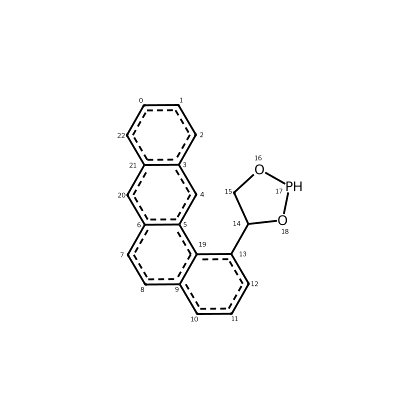 c1ccc2cc3c(ccc4cccc(C5COPO5)c43)cc2c1